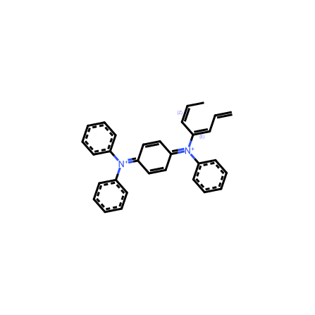 C=C/C=C(\C=C/C)[N+](=C1C=CC(=[N+](c2ccccc2)c2ccccc2)C=C1)c1ccccc1